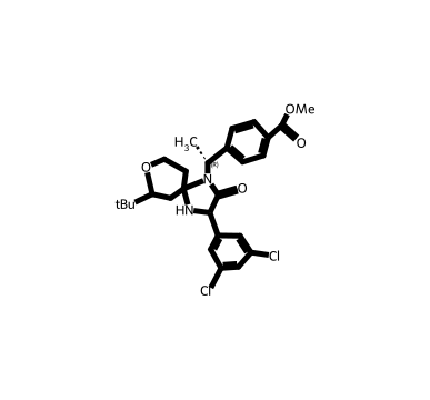 COC(=O)c1ccc([C@@H](C)N2C(=O)C(c3cc(Cl)cc(Cl)c3)NC23CCOC(C(C)(C)C)C3)cc1